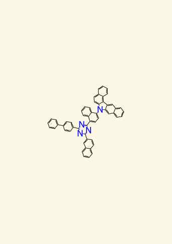 c1ccc(-c2ccc(-c3nc(-c4ccc5ccccc5c4)nc(-c4ccc(-n5c6cc7ccccc7cc6c6c7ccccc7ccc65)c5ccccc45)n3)cc2)cc1